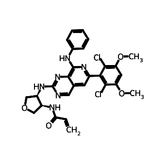 C=CC(=O)N[C@H]1COC[C@H]1Nc1ncc2cc(-c3c(Cl)c(OC)cc(OC)c3Cl)nc(Nc3ccccc3)c2n1